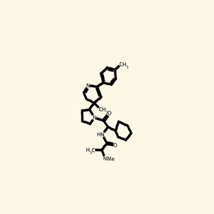 CNC(C)C(=O)NC(C(=O)N1CCCC1C1(C)C=C(c2ccc(C)cc2)N=CC1)C1CCCCC1